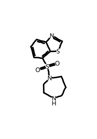 O=S(=O)(c1cccc2ncsc12)N1CCCNCC1